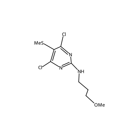 COCCCNc1nc(Cl)c(SC)c(Cl)n1